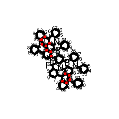 FC(F)(F)c1cccc(-c2ccccc2)c1N1c2cc3c(cc2B2c4ccccc4N(c4ccccc4)c4cc(N(c5ccccc5)c5ccccc5)cc1c42)B1c2ccccc2N(c2ccccc2-c2ccccc2)c2cc(N(c4ccccc4)c4ccccc4-c4ccccc4)cc(c21)S3